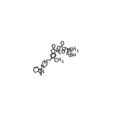 CCOC(=O)C(OC(=O)OCC(C)CC(C)(C)C)N1C(=O)Cc2cc(CCN3CCN(c4nsc5c4C=CCC5)CC3)c(C)cc21